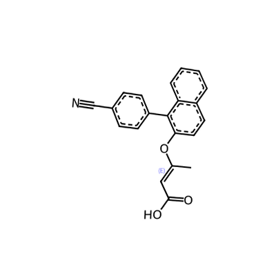 C/C(=C\C(=O)O)Oc1ccc2ccccc2c1-c1ccc(C#N)cc1